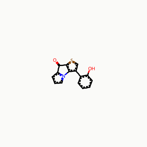 O=C1c2scc(-c3ccccc3O)c2-n2cccc21